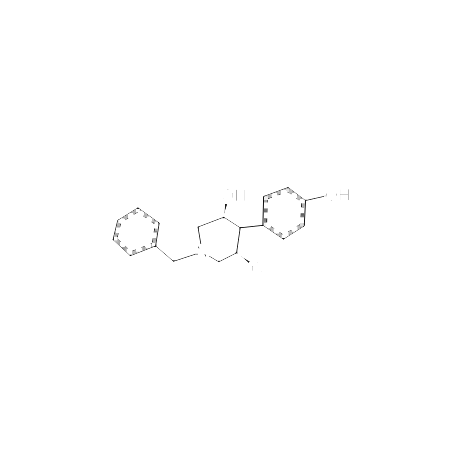 Oc1ccc(C2[C@H](O)CN(Cc3ccccc3)C[C@@H]2O)cc1